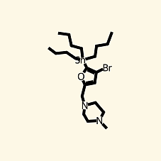 CCC[CH2][Sn]([CH2]CCC)([CH2]CCC)[c]1oc(CN2CCN(C)CC2)cc1Br